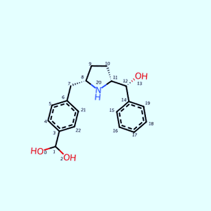 OC(O)c1ccc(C[C@@H]2CC[C@H]([C@H](O)c3ccccc3)N2)cc1